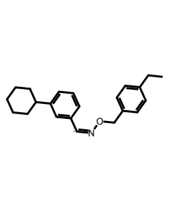 CCc1ccc(CO/N=[C]\c2cccc(C3CCCCC3)c2)cc1